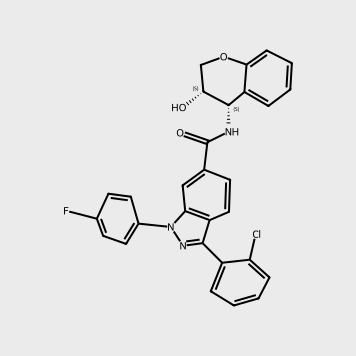 O=C(N[C@H]1c2ccccc2OC[C@H]1O)c1ccc2c(-c3ccccc3Cl)nn(-c3ccc(F)cc3)c2c1